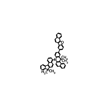 CC1(C)c2ccccc2-c2c1ccc1c(N3c4ccc(-c5ccc6oc7c8ccccc8ccc7c6c5)cc4C(C)(C)c4c3ccc3ccccc43)cccc21